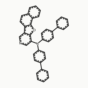 c1ccc(-c2ccc(N(c3ccc(-c4ccccc4)cc3)c3cncc4c3oc3c5ccccc5ccc43)cc2)cc1